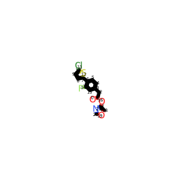 O=C(Cc1ccc(-c2ccc(Cl)s2)c(F)c1)Oc1cocn1